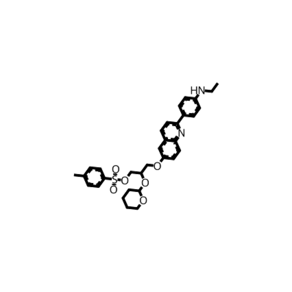 CCNc1ccc(-c2ccc3cc(OCC(COS(=O)(=O)c4ccc(C)cc4)OC4CCCCO4)ccc3n2)cc1